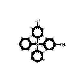 CCc1ccc([Si](c2ccccc2)(c2ccccc2)c2ccc(C)cc2)cc1